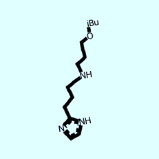 CCC(C)OCCCNCCCc1ncc[nH]1